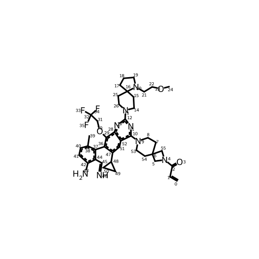 C=CC(=O)N1CC2(CCN(c3nc(N4CCC5(CCCN5CCOC)CC4)nc4c(OCC(F)(F)F)c(-c5c(C)ccc(N)c5C=N)c(C5CC5)cc34)CC2)C1